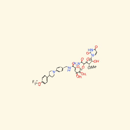 COC1C(O)[C@H](n2ccc(=O)[nH]c2=O)O[C@@H]1C(O[C@H]1OC(C(=O)NCc2ccc(N3CCC(c4ccc(OC(F)(F)F)cc4)CC3)cc2)=C[C@H](O)[C@@H]1O)C(N)=O